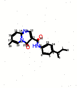 CCC(C)c1ccc(NC(=O)c2cnc3ccc(C)cn3c2=O)cc1